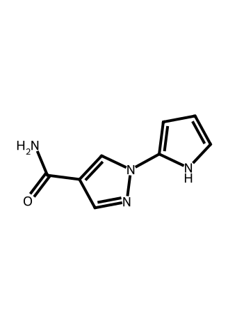 NC(=O)c1cnn(-c2ccc[nH]2)c1